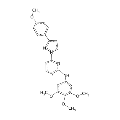 COc1ccc(-c2ccn(-c3ccnc(Nc4cc(OC)c(OC)c(OC)c4)n3)n2)cc1